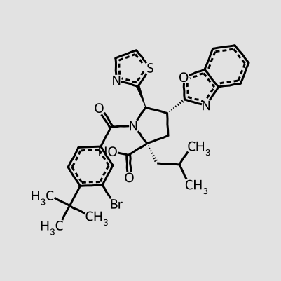 CC(C)C[C@@]1(C(=O)O)C[C@@H](c2nc3ccccc3o2)[C@H](c2nccs2)N1C(=O)c1ccc(C(C)(C)C)c(Br)c1